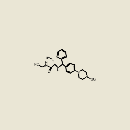 CC(C)C[C@H](NC(c1ccc(N2CCN(C(C)(C)C)CC2)cc1)c1ccccn1)C(=O)NCC#N